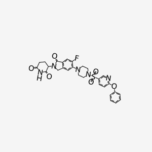 O=C1CCC(N2Cc3cc(N4CCN(S(=O)(=O)c5ccc(Oc6ccccc6)nc5)CC4)c(F)cc3C2=O)C(=O)N1